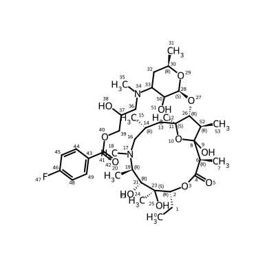 CC[C@H]1OC(=O)[C@H](C)C2(O)O[C@@](C)(C[C@@H](C)CN(C)[C@H](C)[C@@H](O)[C@]1(C)O)[C@H](O[C@@H]1O[C@H](C)CC(N(C)CC(O)COC(=O)c3ccc(F)cc3)C1O)[C@H]2C